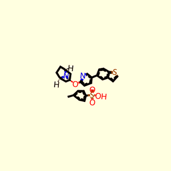 CN1[C@@H]2CC[C@H]1C[C@@H](Oc1ccc(-c3ccc4sccc4c3)cn1)C2.Cc1ccc(S(=O)(=O)O)cc1